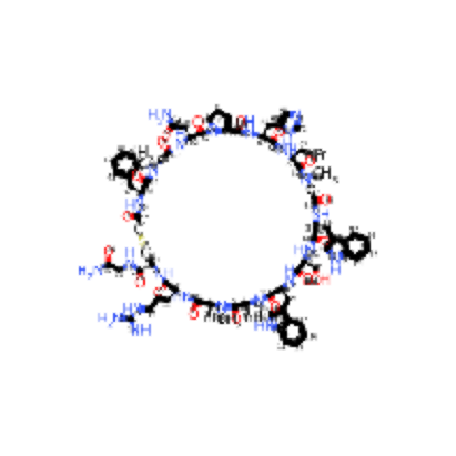 CCCC[C@H]1C(=O)N(C)[C@@H](CCCC)C(=O)N[C@@H](CCCNC(=N)N)C(=O)N[C@H](C(=O)NCC(N)=O)CSCC(=O)N[C@@H](Cc2ccccc2)C(=O)N(C)CC(=O)N[C@@H](CC(N)=O)C(=O)N2CCC[C@H]2C(=O)N[C@@H](Cc2cnc[nH]2)C(=O)N[C@@H](CC(C)C)C(=O)N(C)CC(=O)N[C@@H](Cc2c[nH]c3ccccc23)C(=O)N[C@@H](CO)C(=O)N[C@@H](Cc2c[nH]c3ccccc23)C(=O)N1C